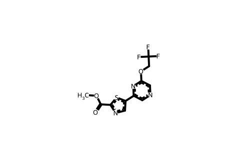 COC(=O)c1ncc(-c2cncc(OCC(F)(F)F)n2)s1